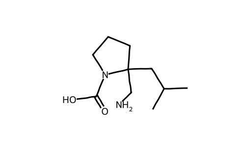 CC(C)CC1(CN)CCCN1C(=O)O